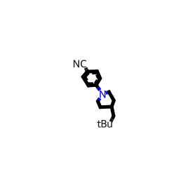 CC(C)(C)CC1CCN(c2ccc(C#N)cc2)CC1